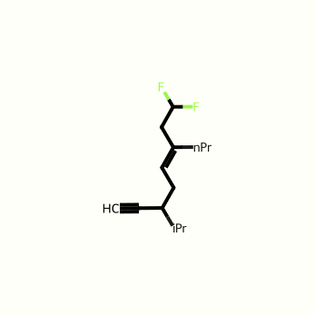 C#CC(C/C=C(\CCC)CC(F)F)C(C)C